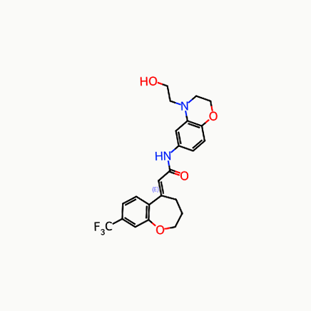 O=C(/C=C1\CCCOc2cc(C(F)(F)F)ccc21)Nc1ccc2c(c1)N(CCO)CCO2